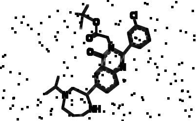 CC(C)N1CCCNC(c2ccc3nc(-c4cccc(Cl)c4)n(CC(=O)OC(C)(C)C)c(=O)c3c2)C1